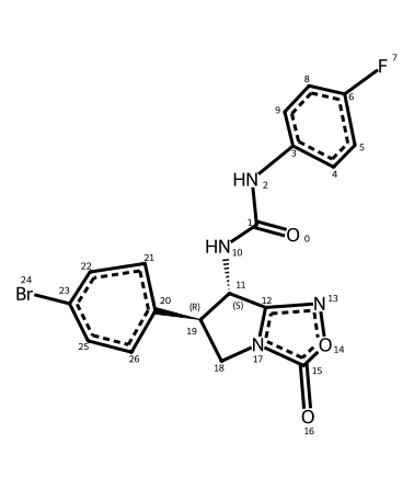 O=C(Nc1ccc(F)cc1)N[C@@H]1c2noc(=O)n2C[C@H]1c1ccc(Br)cc1